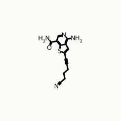 N#CCCCC#Cc1cc2c(N)ncc(C(N)=O)c2s1